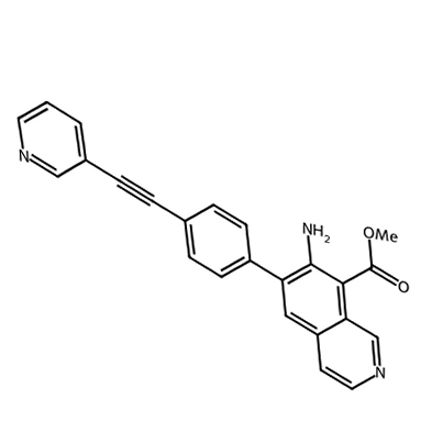 COC(=O)c1c(N)c(-c2ccc(C#Cc3cccnc3)cc2)cc2ccncc12